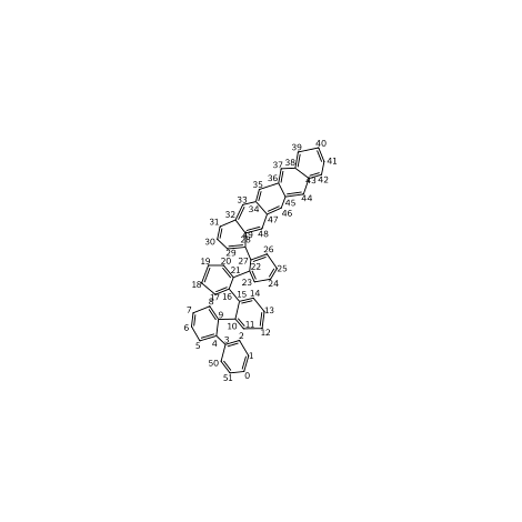 c1ccc(-c2ccccc2-c2ccccc2-c2ccccc2-c2ccccc2-c2cccc3cc4cc5cc6ccccc6cc5cc4cc23)cc1